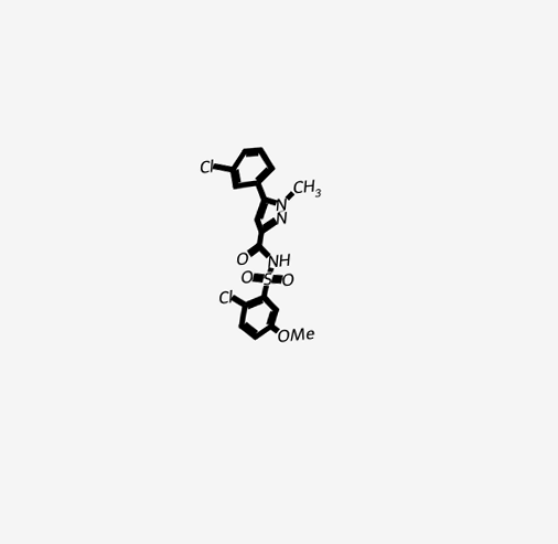 COc1ccc(Cl)c(S(=O)(=O)NC(=O)c2cc(-c3cccc(Cl)c3)n(C)n2)c1